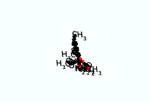 C=C(C)C(=O)OCCCc1cc(-c2ccc(-c3ccc(C4CCC(CCCCC)CC4)cc3F)c(CC)c2)cc(CCCOC(=O)C(=C)C)c1OCC(CN)(CN)CN